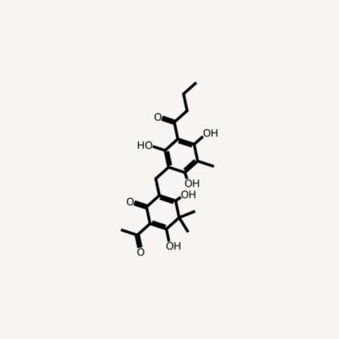 CCCC(=O)c1c(O)c(C)c(O)c(CC2=C(O)C(C)(C)C(O)=C(C(C)=O)C2=O)c1O